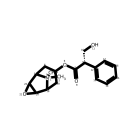 C[N+]1(C)C2CC(OC(=O)[C@H](CO)c3ccccc3)CC1C1OC12